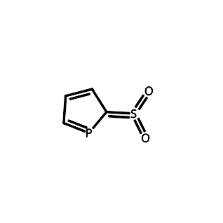 O=S(=O)=C1C=CC=P1